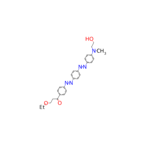 CCOCCC(=O)c1ccc(N=Nc2ccc(N=Nc3ccc(N(C)CCO)cc3)cc2)cc1